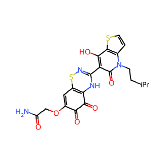 CC(C)CCn1c(=O)c(-c2nsc3cc(OCC(N)=O)c(=O)c(=O)c=3[nH]2)c(O)c2sccc21